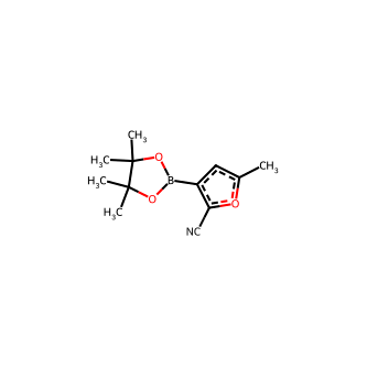 Cc1cc(B2OC(C)(C)C(C)(C)O2)c(C#N)o1